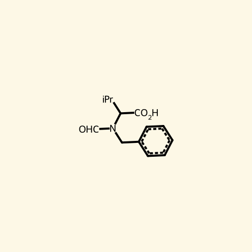 CC(C)C(C(=O)O)N(C=O)Cc1ccccc1